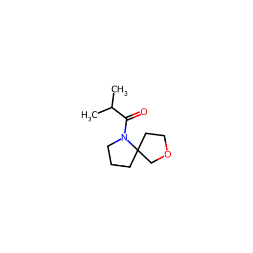 CC(C)C(=O)N1CCCC12CCOC2